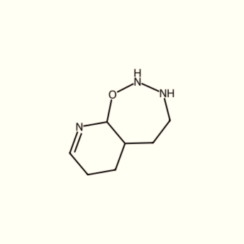 C1=NC2ONNCCC2CC1